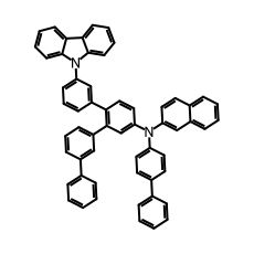 c1ccc(-c2ccc(N(c3ccc(-c4cccc(-n5c6ccccc6c6ccccc65)c4)c(-c4cccc(-c5ccccc5)c4)c3)c3ccc4ccccc4c3)cc2)cc1